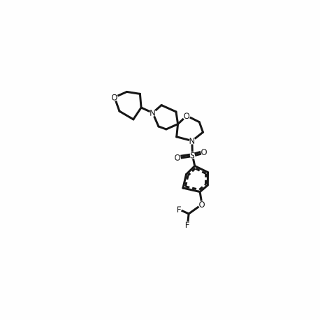 O=S(=O)(c1ccc(OC(F)F)cc1)N1CCOC2(CCN(C3CCOCC3)CC2)C1